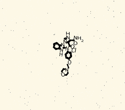 NC(=O)c1[nH]cnc1C(=O)N(c1nc2ccccc2[nH]1)c1ccc(OCCN2CCOCC2)cc1Cl